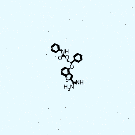 N=C(N)c1cc2c(O[C@@H](COC(=O)Nc3ccccc3)c3ccccc3)cccc2s1